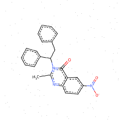 Cc1nc2ccc([N+](=O)[O-])cc2c(=O)n1C(Cc1ccccc1)c1ccccc1